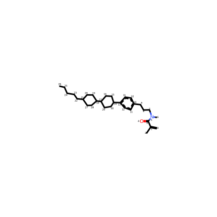 C=C(C)C(=O)N(C)CCCc1ccc(C2CCC(C3CCC(CCCCC)CC3)CC2)cc1